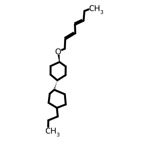 CC/C=C/C=C/CO[C@H]1CC[C@H](C2CCC(CCC)CC2)CC1